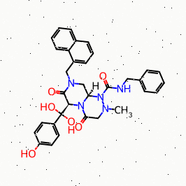 CN1CC(=O)N2[C@H](CN(Cc3cccc4ccccc34)C(=O)[C@@H]2C(O)(O)c2ccc(O)cc2)N1C(=O)NCc1ccccc1